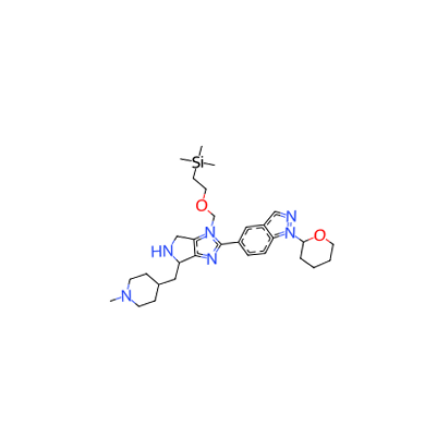 CN1CCC(CC2NCc3c2nc(-c2ccc4c(cnn4C4CCCCO4)c2)n3COCC[Si](C)(C)C)CC1